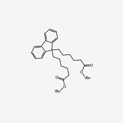 CC(C)(C)OC(=O)CCCCCC1(CCCCCC(=O)OC(C)(C)C)c2ccccc2-c2ccccc21